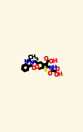 Cc1nc2ccccc2c(=O)n1CC1Cc2c(sc(NC(=O)C(=O)O)c2C(=O)O)CO1